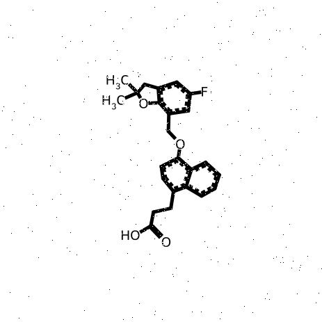 CC1(C)Cc2cc(F)cc(COc3ccc(CCC(=O)O)c4ccccc34)c2O1